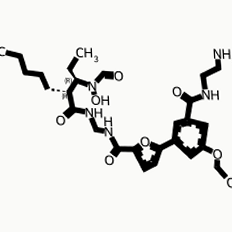 CCCCC[C@@H](C(=O)NCNC(=O)c1ccc(-c2cc(OCC)cc(C(=O)NCCN)c2)o1)[C@@H](CC)N(O)C=O